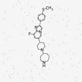 CSc1ccc(-c2cn3cc(C4CCN(C5CCCNCC5)CC4)cc(F)c3n2)cc1